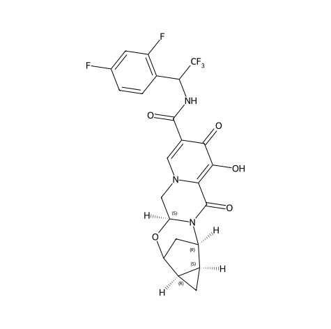 O=C(NC(c1ccc(F)cc1F)C(F)(F)F)c1cn2c(c(O)c1=O)C(=O)N1[C@H](C2)OC2C[C@@H]1[C@H]1C[C@@H]21